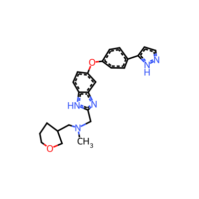 CN(Cc1nc2cc(Oc3ccc(-c4ccn[nH]4)cc3)ccc2[nH]1)CC1CCCOC1